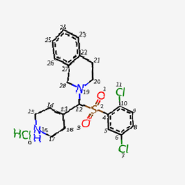 Cl.O=S(=O)(c1cc(Cl)ccc1Cl)C(C1CCNCC1)N1CCc2ccccc2C1